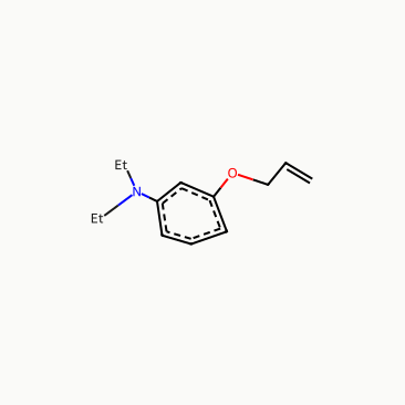 C=CCOc1cccc(N(CC)CC)c1